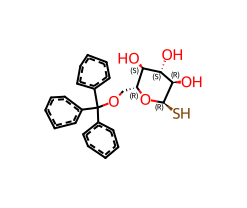 O[C@@H]1[C@@H](O)[C@@H](S)O[C@H](COC(c2ccccc2)(c2ccccc2)c2ccccc2)[C@H]1O